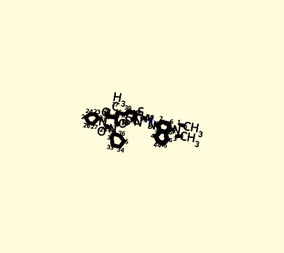 CCN(CC)c1ccc(/N=N/c2nc3sc(C(C)=C4C(=O)N(C5CCCCC5)C(=O)N(C5CCCCC5)C4=O)cc3s2)c2ccccc12